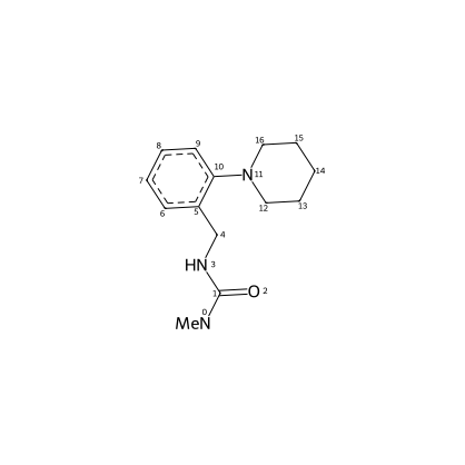 CNC(=O)NCc1ccccc1N1CCCCC1